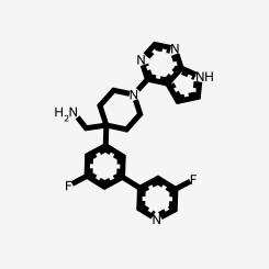 NCC1(c2cc(F)cc(-c3cncc(F)c3)c2)CCN(c2ncnc3[nH]ccc23)CC1